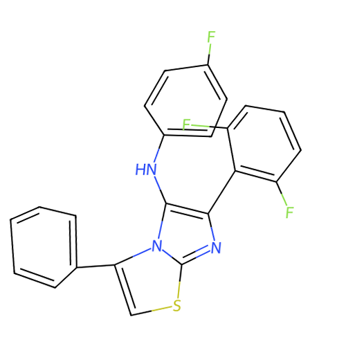 Fc1ccc(Nc2c(-c3c(F)cccc3F)nc3scc(-c4ccccc4)n23)cc1